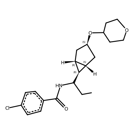 CCC(NC(=O)c1ccc(Cl)cc1)[C@H]1[C@@H]2C[C@@H](OC3CCOCC3)C[C@@H]21